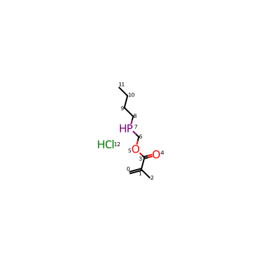 C=C(C)C(=O)OCPCCCC.Cl